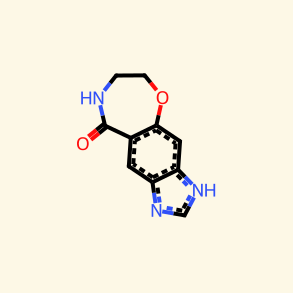 O=C1NCCOc2cc3[nH]cnc3cc21